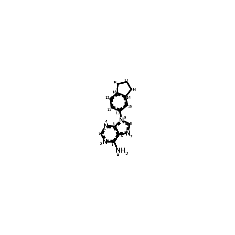 Nc1ncnc2c1ncn2-c1ccc2c(c1)CCC2